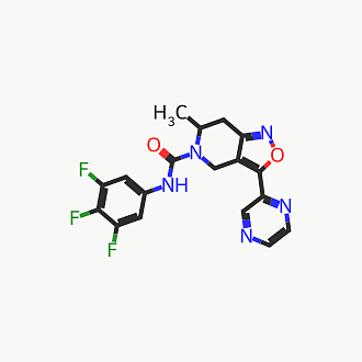 CC1Cc2noc(-c3cnccn3)c2CN1C(=O)Nc1cc(F)c(F)c(F)c1